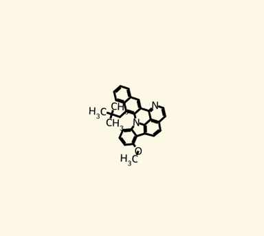 COc1cccc2c1c1ccc3ccnc4c5cc6ccccc6c(CC(C)(C)C)c5n2c1c34